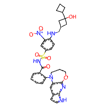 O=C(NS(=O)(=O)c1ccc(NCC2CC(O)(C3CCC3)C2)c([N+](=O)[O-])c1)c1ccccc1N1CCCOc2nc3[nH]ccc3cc21